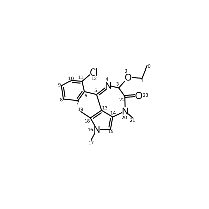 CCOC1N=C(c2ccccc2Cl)c2c(cn(C)c2C)N(C)C1=O